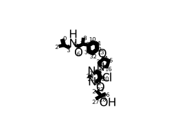 C=C(C)CNC(=O)C(C)c1ccc(O[C@@H]2CCN(c3ncnc(OCC(C)(C)O)c3Cl)C2)cc1